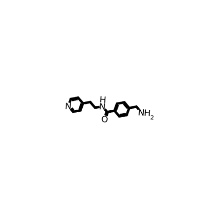 NCc1ccc(C(=O)NCCc2ccncc2)cc1